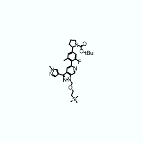 Cc1cc(C2CCCN2C(=O)OC(C)(C)C)cc(F)c1-c1cc2c(-c3cnn(C)c3)nn(COCC[Si](C)(C)C)c2cn1